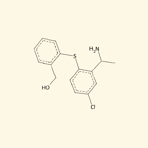 CC(N)c1cc(Cl)ccc1Sc1ccccc1CO